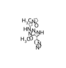 COc1nc(NC2CC(C)(N3CCCC3=O)C2)nc2[nH]cc(-c3ccc4nccn4c3)c12